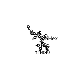 C=Cc1ccc(-c2c(-c3ccc(OOC/C=C/c4ccccc4)cc3)c3cc(C)sc3c3sc(-c4sc(-c5cc6c(-c7ccc(C)cc7)c(-c7ccc(C)cc7)c7cc(-c8sc(C)c9cc(C(=O)CCCCCC)sc89)sc7c6s5)c5cc(C(=O)CCCCCC)sc45)cc23)cc1